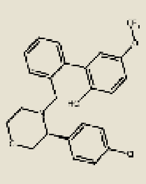 Oc1ccc(OC(F)(F)F)cc1-c1ccccc1CN1CCOC[C@@H]1c1ccc(Cl)cc1